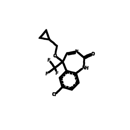 O=C1N=CC(OCC2CC2)(C(F)(F)F)c2cc(Cl)ccc2N1